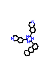 c1ccc2cc3c(-c4nc(-c5ccc6cnccc6c5)nc(-c5ccc6cnccc6c5)n4)cccc3cc2c1